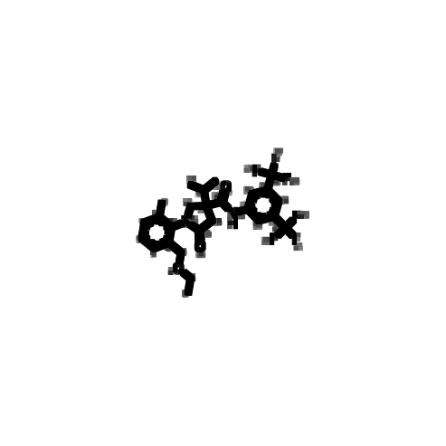 CCOCc1cccc(C)c1N1CC(C(=O)Nc2cc(C(F)(F)F)cc(C(F)(F)F)c2)(C(C)C)CC1=O